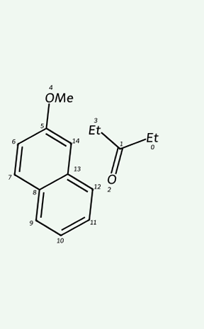 CCC(=O)CC.COc1ccc2ccccc2c1